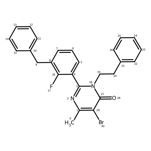 Cc1nc(-c2cccc(Cc3ccccc3)c2F)n(CCc2ccccc2)c(=O)c1Br